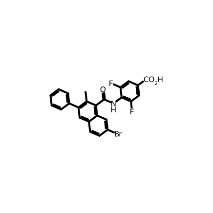 Cc1c(-c2ccccc2)cc2ccc(Br)cc2c1C(=O)Nc1c(F)cc(C(=O)O)cc1F